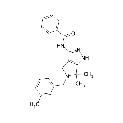 Cc1cccc(CN2Cc3c(NC(=O)c4ccccc4)n[nH]c3C2(C)C)c1